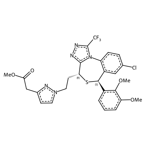 COC(=O)Cc1ccn(CC[C@H]2S[C@H](c3cccc(OC)c3OC)c3cc(Cl)ccc3-n3c2nnc3C(F)(F)F)n1